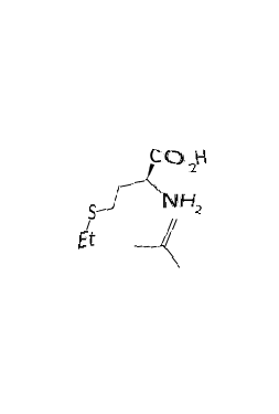 C=C(C)C.CCSCC[C@H](N)C(=O)O